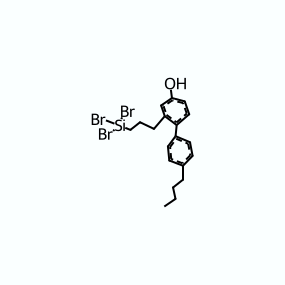 CCCCc1ccc(-c2ccc(O)cc2CCC[Si](Br)(Br)Br)cc1